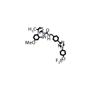 COc1ccc(-n2c(C)cs/c2=N\C(=O)NCc2ccc(-c3ncn(-c4ccc(OC(F)(F)F)cc4)n3)cc2)c(C(C)C)c1